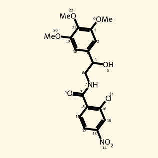 COc1cc(C(O)CNC(=O)c2ccc([N+](=O)[O-])cc2Cl)cc(OC)c1OC